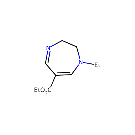 CCOC(=O)C1=CN(CC)CCN=C1